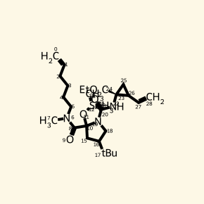 C=CCCCCN(C)C(=O)C1(O[SiH](C)C)CC(C(C)(C)C)CN1C(=O)N[C@]1(C(=O)OCC)CC1C=C